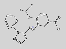 Cc1cc(/N=C/c2cc([N+](=O)[O-])ccc2OC(F)F)n(-c2ccccc2)n1